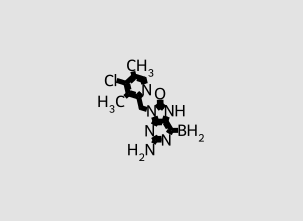 Bc1nc(N)nc2c1[nH]c(=O)n2Cc1ncc(C)c(Cl)c1C